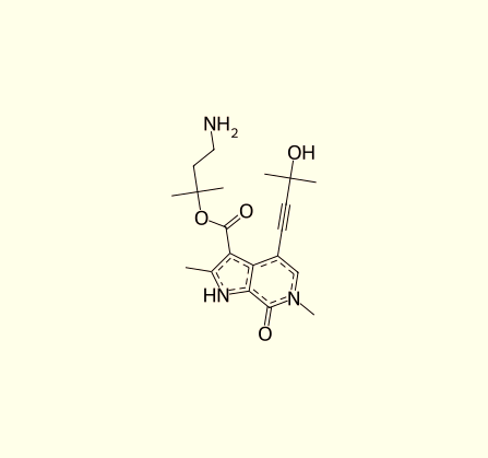 Cc1[nH]c2c(=O)n(C)cc(C#CC(C)(C)O)c2c1C(=O)OC(C)(C)CCN